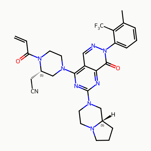 C=CC(=O)N1CCN(c2nc(N3CCN4CCC[C@H]4C3)nc3c(=O)n(-c4cccc(C)c4C(F)(F)F)ncc23)C[C@@H]1CC#N